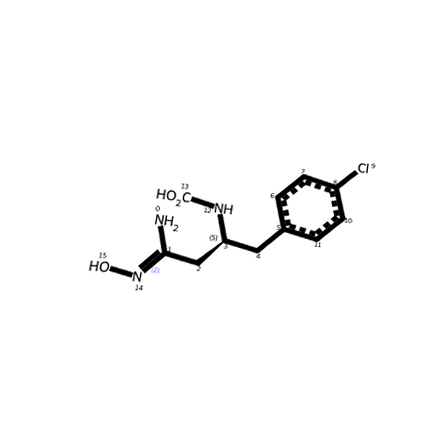 N/C(C[C@H](Cc1ccc(Cl)cc1)NC(=O)O)=N\O